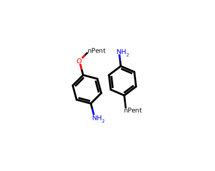 CCCCCOc1ccc(N)cc1.CCCCCc1ccc(N)cc1